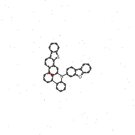 c1ccc(-c2ccccc2N(c2ccc3c(c2)oc2ccccc23)c2ccc3ccc4c5ccccc5sc4c3c2)cc1